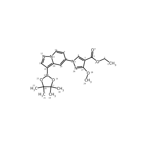 CCOC(=O)c1cn(-c2ccn3ncc(B4OC(C)(C)C(C)(C)O4)c3c2)nc1OC